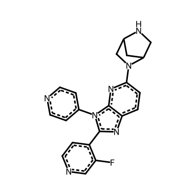 Fc1cnccc1-c1nc2ccc(N3CC4CC3CN4)nc2n1-c1ccncc1